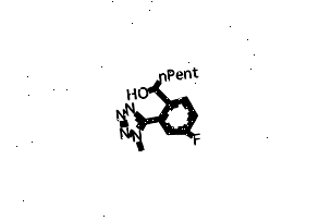 CCCCCC(O)c1ccc(F)cc1-c1nnnn1C